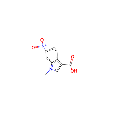 Cn1cc(C(=O)O)c2ccc([N+](=O)[O-])cc21